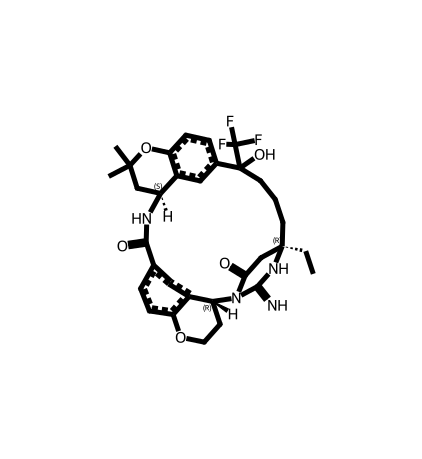 CC[C@]12CCCC(O)(C(F)(F)F)c3ccc4c(c3)[C@H](CC(C)(C)O4)NC(=O)c3ccc4c(c3)[C@@H](CCO4)N(C(=N)N1)C(=O)C2